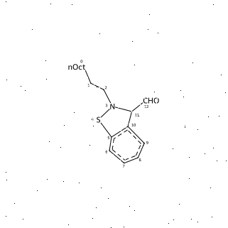 CCCCCCCCCCN1Sc2ccccc2C1C=O